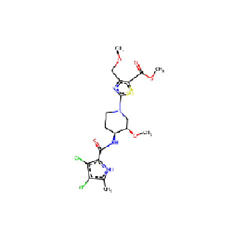 COCc1nc(N2CC[C@H](NC(=O)c3[nH]c(C)c(Cl)c3Cl)[C@H](OC)C2)sc1C(=O)OC